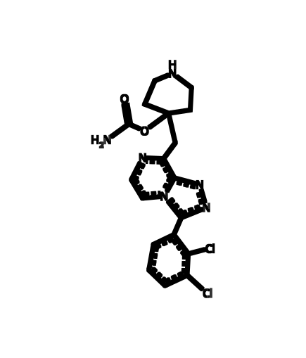 NC(=O)OC1(Cc2nccn3c(-c4cccc(Cl)c4Cl)nnc23)CCNCC1